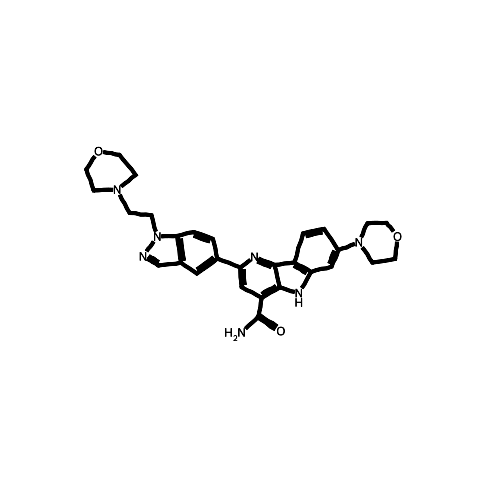 NC(=O)c1cc(-c2ccc3c(cnn3CCN3CCOCC3)c2)nc2c1[nH]c1cc(N3CCOCC3)ccc12